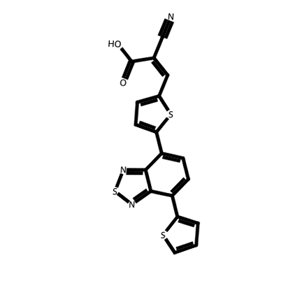 N#C/C(=C/c1ccc(-c2ccc(-c3cccs3)c3nsnc23)s1)C(=O)O